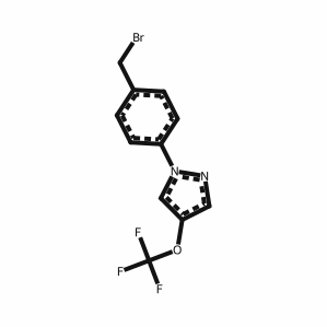 FC(F)(F)Oc1cnn(-c2ccc(CBr)cc2)c1